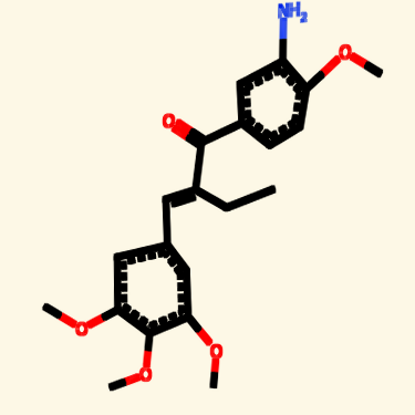 CC/C(=C\c1cc(OC)c(OC)c(OC)c1)C(=O)c1ccc(OC)c(N)c1